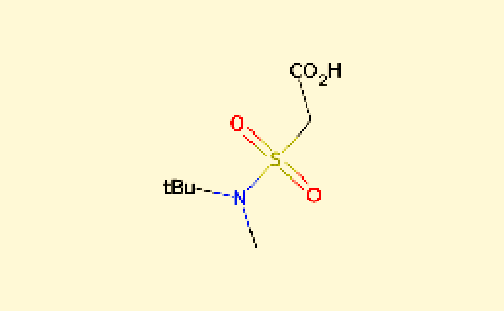 CN(C(C)(C)C)S(=O)(=O)CC(=O)O